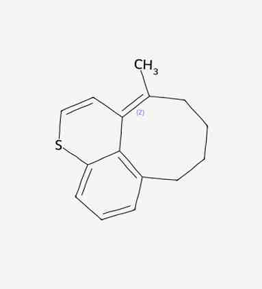 C/C1=C2\C=CSc3cccc(c32)CCCC1